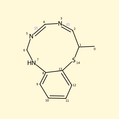 CC1/C=N\C=N/CNc2ccccc2S1